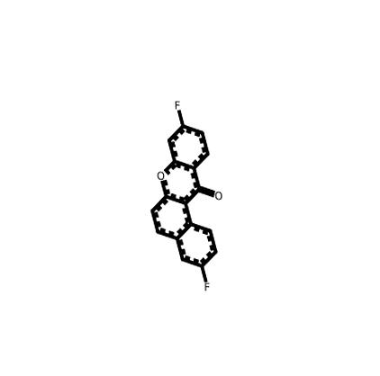 O=c1c2ccc(F)cc2oc2ccc3cc(F)ccc3c12